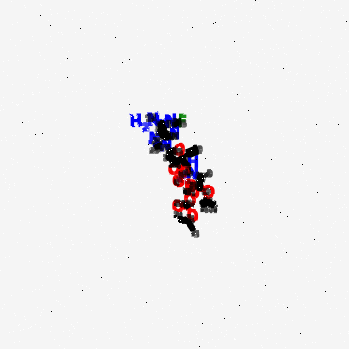 C#C[C@]1(COP(=O)(N[C@H](C)C(=O)OC(C)C)OCOC(=O)OC(C)C)O[C@@H](n2cnc3c(N)nc(F)nc32)C[C@@H]1O